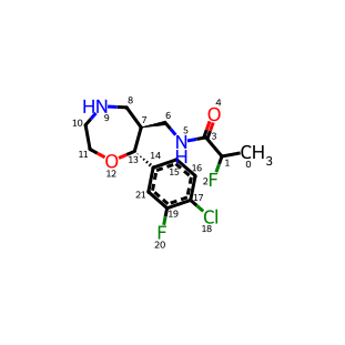 CC(F)C(=O)NC[C@@H]1CNCCO[C@H]1c1ccc(Cl)c(F)c1